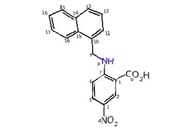 O=C(O)c1cc([N+](=O)[O-])ccc1NCc1cccc2ccccc12